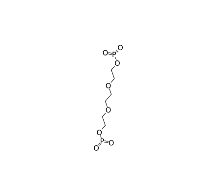 O=P(=O)OCCOCCOCCOP(=O)=O